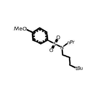 CCCN(CCCC(C)(C)C)S(=O)(=O)c1ccc(OC)cc1